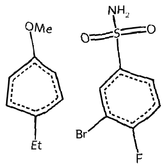 CCc1ccc(OC)cc1.NS(=O)(=O)c1ccc(F)c(Br)c1